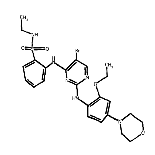 CCNS(=O)(=O)c1ccccc1Nc1nc(Nc2ccc(N3CCOCC3)cc2OCC)ncc1Br